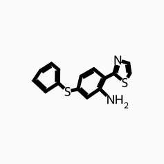 Nc1cc(Sc2ccccc2)ccc1-c1nccs1